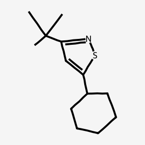 CC(C)(C)c1cc(C2CCCCC2)sn1